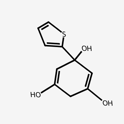 OC1=CC(O)(c2cccs2)C=C(O)C1